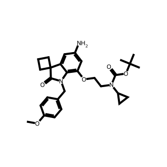 COc1ccc(CN2C(=O)C3(CCC3)c3cc(N)cc(OCCN(C(=O)OC(C)(C)C)C4CC4)c32)cc1